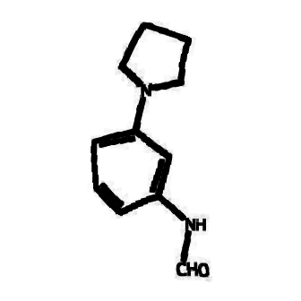 O=CNc1[c]ccc(N2CCCC2)c1